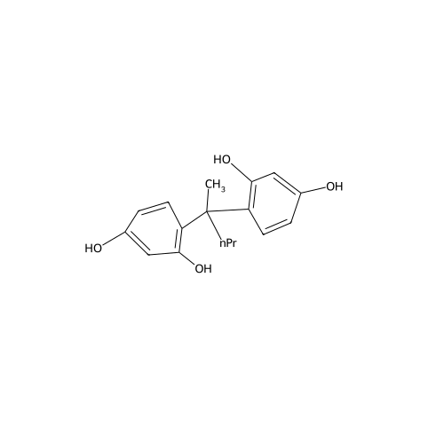 CCCC(C)(c1ccc(O)cc1O)c1ccc(O)cc1O